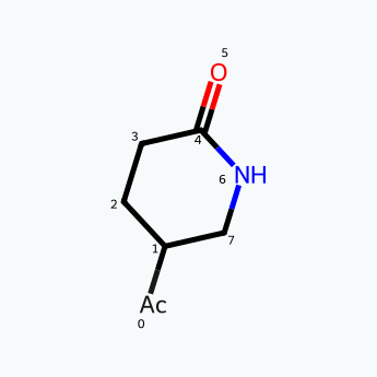 CC(=O)C1CCC(=O)NC1